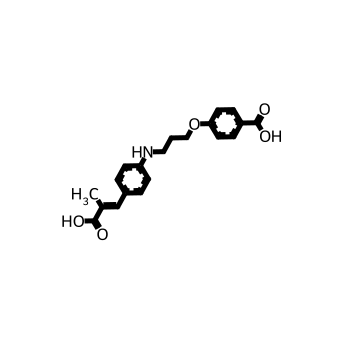 C/C(=C\c1ccc(NCCCOc2ccc(C(=O)O)cc2)cc1)C(=O)O